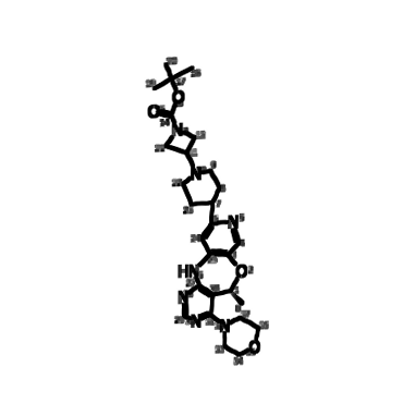 C[C@@H]1Oc2cnc(C3CCN(C4CN(C(=O)OC(C)(C)C)C4)CC3)cc2Nc2ncnc(N3CCOCC3)c21